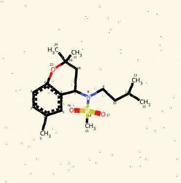 Cc1ccc2c(c1)C(N(CCC(C)C)S(C)(=O)=O)CC(C)(C)O2